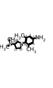 Cc1cc(N)cc(C)c1N1CCC(N(C)C)C1